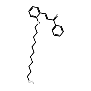 CCCCCCCCCCCCOc1ccccc1C=CC(=O)c1ccccc1